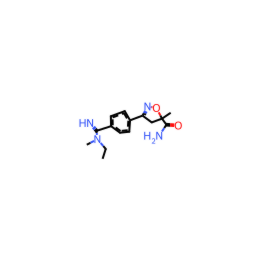 CCN(C)C(=N)c1ccc(C2=NOC(C)(C(N)=O)C2)cc1